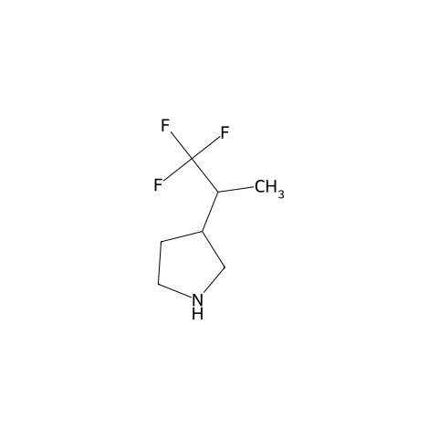 CC(C1CCNC1)C(F)(F)F